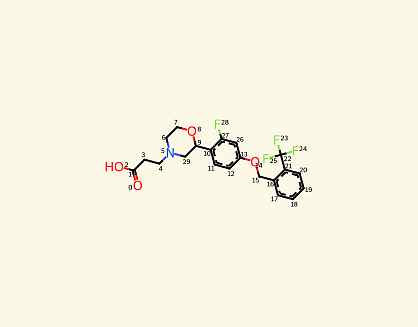 O=C(O)CCN1CCOC(c2ccc(OCc3ccccc3C(F)(F)F)cc2F)C1